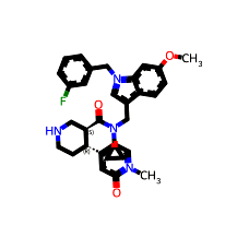 COc1ccc2c(CN(C(=O)[C@@H]3CNCC[C@H]3c3ccn(C)c(=O)c3)C3CC3)cn(Cc3cccc(F)c3)c2c1